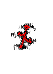 CC(=O)NC1C(OCCOCCNCC(=O)C(CCC(=O)NC(CCC(=O)NCCOCCOC2OC(CO)C(O)C(O)C2NC(C)=O)C(=O)NCCOCCOC2OC(CO)C(O)C(O)C2NC(C)=O)NC(=O)C2CCC(OP(=O)(O)C(C)(C)C)CC2)OC(CO)C(O)C1O